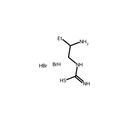 Br.Br.CCC(N)CNC(=N)S